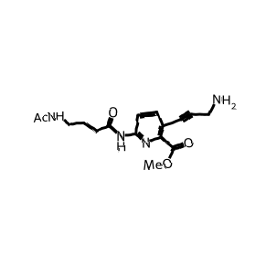 COC(=O)c1nc(NC(=O)CCCNC(C)=O)ccc1C#CCN